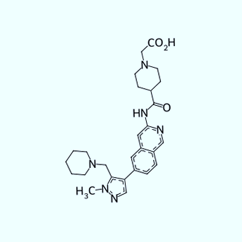 Cn1ncc(-c2ccc3cnc(NC(=O)C4CCN(CC(=O)O)CC4)cc3c2)c1CN1CCCCC1